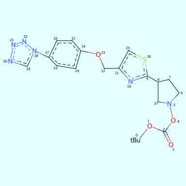 CC(C)(C)OC(=O)ON1CCC(c2nc(COc3ccc(-n4cnnn4)cc3)cs2)C1